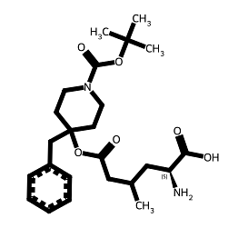 CC(CC(=O)OC1(Cc2ccccc2)CCN(C(=O)OC(C)(C)C)CC1)C[C@H](N)C(=O)O